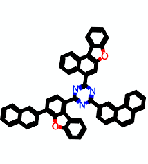 c1ccc2cc(-c3ccc(-c4nc(-c5ccc6ccc7ccccc7c6c5)nc(-c5cc6oc7ccccc7c6c6ccccc56)n4)c4c3oc3ccccc34)ccc2c1